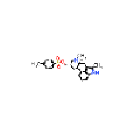 Cc1ccc(S(=O)(=O)OC[C@@H]2CC3c4cccc5[nH]c(C)c(c45)C[C@H]3N(C)C2)cc1